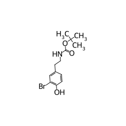 CC(C)(C)OC(=O)NCCc1ccc(O)c(Br)c1